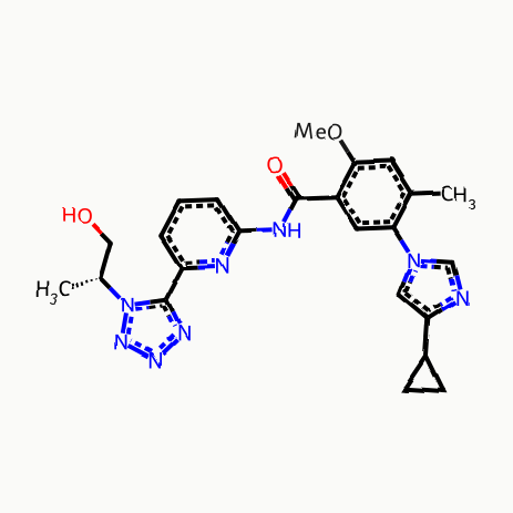 COc1cc(C)c(-n2cnc(C3CC3)c2)cc1C(=O)Nc1cccc(-c2nnnn2[C@H](C)CO)n1